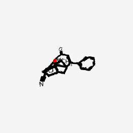 CC12CC34CC1CC(O2)C3[C@](C)(CCC#N)C(=O)C=C4c1ccccc1